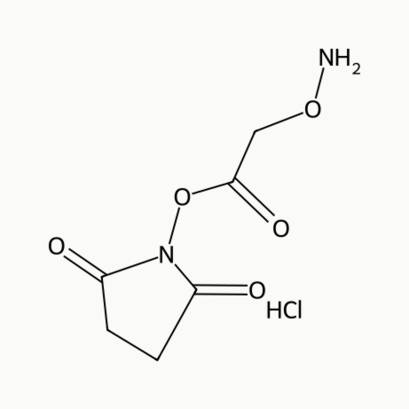 Cl.NOCC(=O)ON1C(=O)CCC1=O